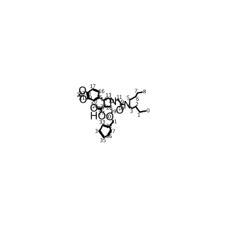 CCCCN(CCCC)C(=O)CN1C[C@H](c2ccc3c(c2)OCO3)[C@H](C(=O)O)[C@H]1COCc1ccccc1